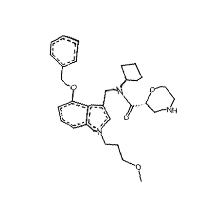 COCCCn1cc(CN(C(=O)[C@H]2CNCCO2)C2CCC2)c2c(OCc3ccccc3)cccc21